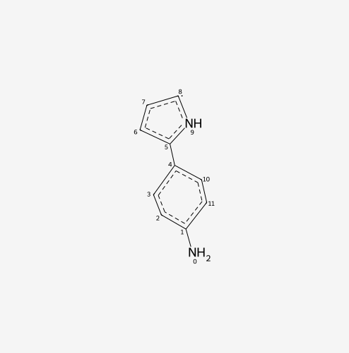 Nc1ccc(-c2cc[c][nH]2)cc1